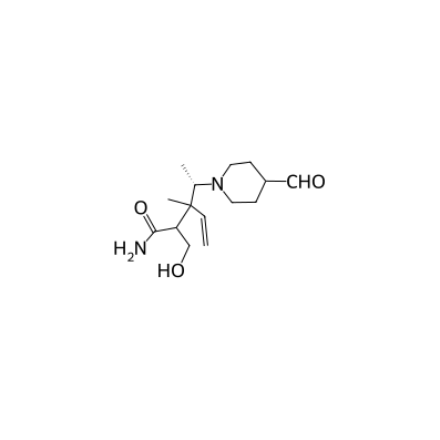 C=CC(C)(C(CO)C(N)=O)[C@H](C)N1CCC(C=O)CC1